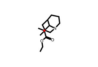 CCOC(=O)C(C)C1C2CCCN1CC(C)C2